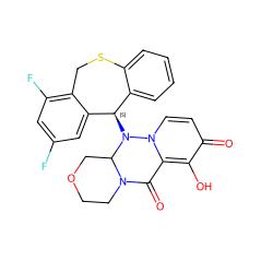 O=C1c2c(O)c(=O)ccn2N([C@@H]2c3ccccc3SCc3c(F)cc(F)cc32)C2COCCN12